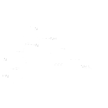 CC(=O)NCc1cccc(Nc2nccc(-c3cnc4c(c3)C(C)(C)CN4)n2)c1